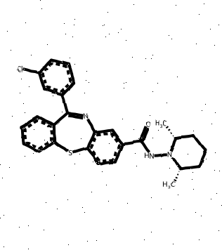 C[C@@H]1CCC[C@H](C)N1NC(=O)c1ccc2c(c1)N=C(c1cccc(Cl)c1)c1ccccc1S2